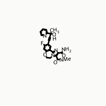 CNC(=O)c1c(C(N)=O)nc2n1CCOc1cc(F)c(C#CC(C)(O)c3ccccn3)cc1-2